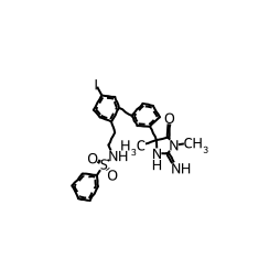 CN1C(=N)NC(C)(c2cccc(-c3cc(I)ccc3CCNS(=O)(=O)c3ccccc3)c2)C1=O